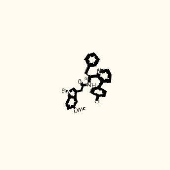 CCn1cc(CC(=O)N[C@@H](Cc2ccccc2)c2ncccc2-c2ccc(Cl)cc2)c2cc(OC)ccc21